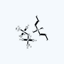 CC=C[N+](C)(C)C=CC.O=S(=O)([N-]S(=O)(=O)C(F)(F)F)C(F)(F)F